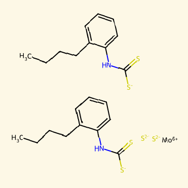 CCCCc1ccccc1NC(=S)[S-].CCCCc1ccccc1NC(=S)[S-].[Mo+6].[S-2].[S-2]